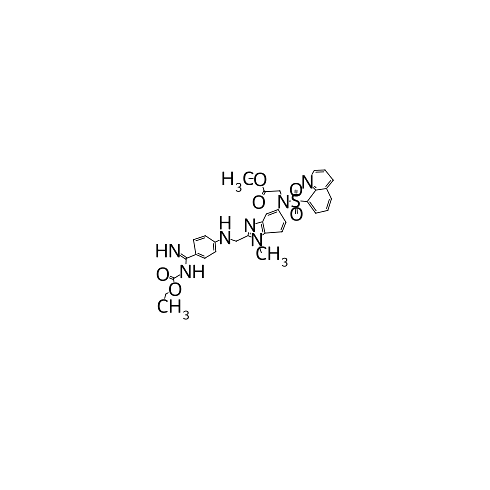 CCOC(=O)NC(=N)c1ccc(NCc2nc3cc(N(CC(=O)OC)S(=O)(=O)c4cccc5cccnc45)ccc3n2C)cc1